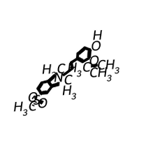 CC(C)(C)Oc1cc(CCC(C)(C)n2cc3ccc(S(C)(=O)=O)cc3c2)ccc1O